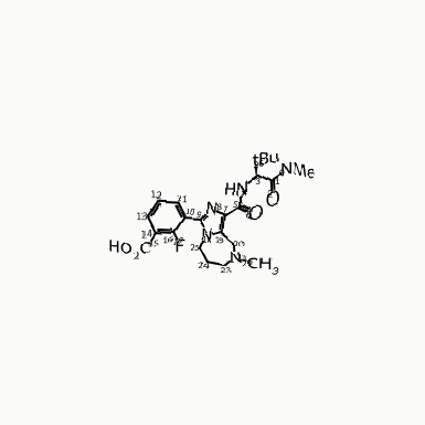 CNC(=O)[C@@H](NC(=O)c1nc(-c2cccc(C(=O)O)c2F)n2c1CN(C)CCC2)C(C)(C)C